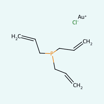 C=CCP(CC=C)CC=C.[Au+].[Cl-]